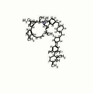 C=C1CCC(c2c(F)cc(N3CCC(CN4CCN(Cc5ccc6c(c5)N5C[C@H](C)CCCCc7c(cnn7C)-c7cc(cc(C)n7)C(=C)/N=C/5N6)CC4)C3)cc2F)C(=C)N1